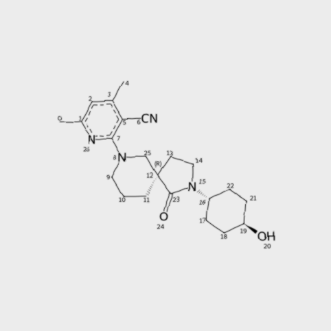 Cc1cc(C)c(C#N)c(N2CCC[C@@]3(CCN([C@H]4CC[C@H](O)CC4)C3=O)C2)n1